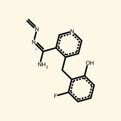 C=N/N=C(/N)c1cnccc1Cc1c(O)cccc1F